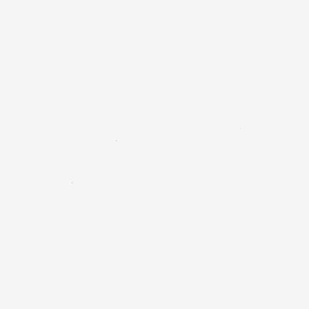 Cc1cc(O)cc(O)c1C1=Cc2ccc3c(c2OC1)C=CC(C)(C)OC3